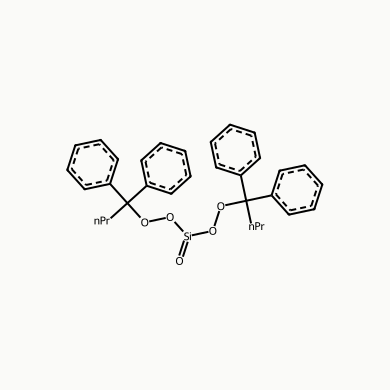 CCCC(OO[Si](=O)OOC(CCC)(c1ccccc1)c1ccccc1)(c1ccccc1)c1ccccc1